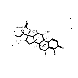 CCCCCC(=O)O[C@]1(C(=O)CF)[C@@H](C)C[C@H]2[C@@H]3C[C@H](F)C4=C(F)C(=O)C=C[C@]4(C)[C@H]3[C@@H](O)C[C@@]21C